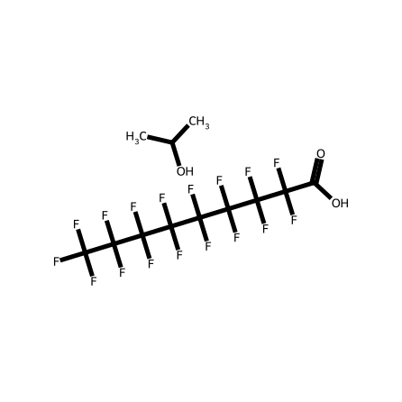 CC(C)O.O=C(O)C(F)(F)C(F)(F)C(F)(F)C(F)(F)C(F)(F)C(F)(F)C(F)(F)C(F)(F)F